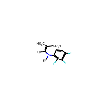 CCC(=C(C(=O)O)C(=O)O)N(CC)c1ccc(F)c(F)c1F